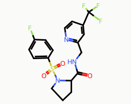 O=C(NCc1cc(C(F)(F)F)ccn1)C1CCCN1S(=O)(=O)c1ccc(F)cc1